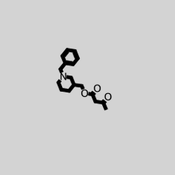 CC(=O)CC(=O)OCC1CCCN(Cc2ccccc2)C1